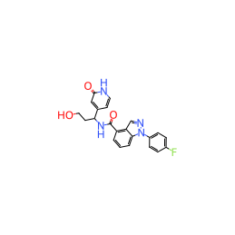 O=C(NC(CCO)c1cc[nH]c(=O)c1)c1cccc2c1cnn2-c1ccc(F)cc1